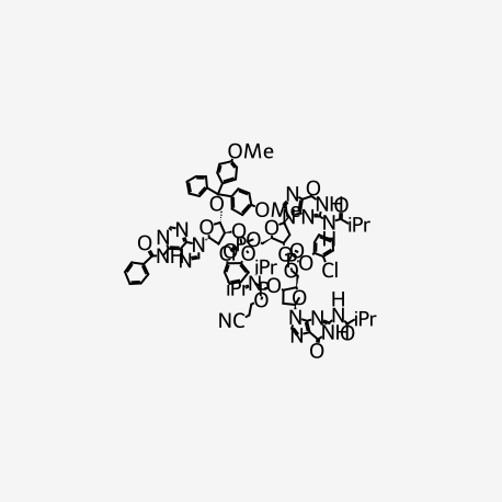 COc1ccc(C(OC[C@H]2O[C@@H](n3cnc4c(NC(=O)c5ccccc5)ncnc43)C[C@@H]2OP(=O)(OC[C@H]2O[C@@H](n3cnc4c(=O)[nH]c(NC(=O)C(C)C)nc43)C[C@@H]2OP(=O)(OC[C@H]2O[C@@H](n3cnc4c(=O)[nH]c(NC(=O)C(C)C)nc43)C[C@@H]2OP(OCCC#N)N(C(C)C)C(C)C)Oc2ccccc2Cl)Oc2ccccc2Cl)(c2ccccc2)c2ccc(OC)cc2)cc1